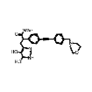 CNC(=O)C(CC1=C(O)C(O)NC=N1)c1ccc(C#Cc2ccc(CN3CCOCC3)cc2)cc1